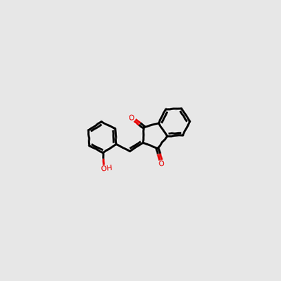 O=C1C(=Cc2ccccc2O)C(=O)c2ccccc21